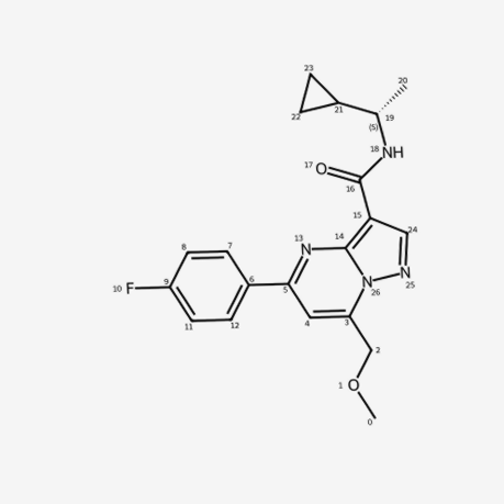 COCc1cc(-c2ccc(F)cc2)nc2c(C(=O)N[C@@H](C)C3CC3)cnn12